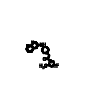 C[C@@H]1C[C@H](F)CN1C(=O)CN1CCC(Nc2cnc3ncccc3c2)CC1